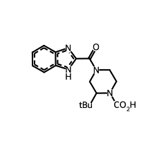 CC(C)(C)C1CN(C(=O)c2nc3ccccc3[nH]2)CCN1C(=O)O